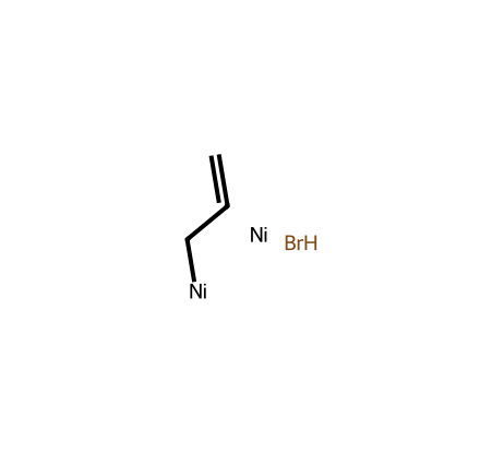 Br.C=C[CH2][Ni].[Ni]